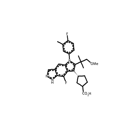 COCC(C)(C)c1c([C@@H]2CCC(C(=O)O)C2)c2c(F)c3[nH]ncc3cc2n1-c1ccc(F)c(C)c1